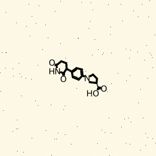 O=C1CCC(c2ccc(N3CC[C@@H](C(=O)O)C3)cc2)C(=O)N1